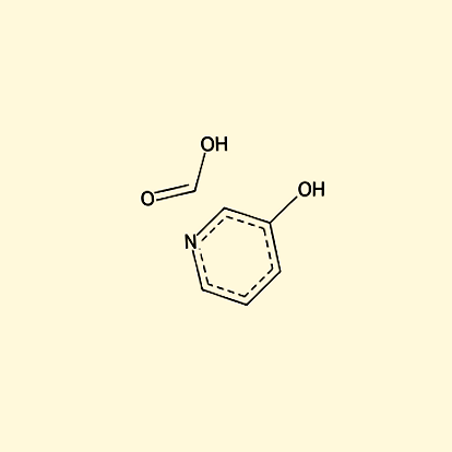 O=CO.Oc1cccnc1